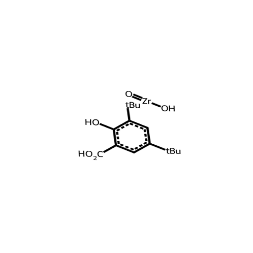 CC(C)(C)c1cc(C(=O)O)c(O)c(C(C)(C)C)c1.[O]=[Zr][OH]